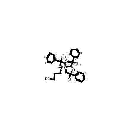 CCCC[O][Hf]([CH2]C(C)(C)c1ccccc1)([CH2]C(C)(C)c1ccccc1)[CH2]C(C)(C)c1ccccc1